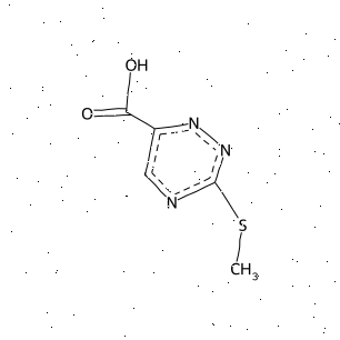 CSc1ncc(C(=O)O)nn1